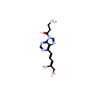 C/C(=C\C=C\c1ncnc2c1ncn2C(=O)CCC(=O)O)CO